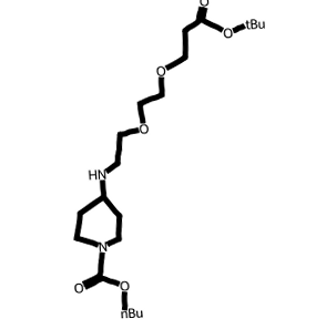 CCCCOC(=O)N1CCC(NCCOCCOCCC(=O)OC(C)(C)C)CC1